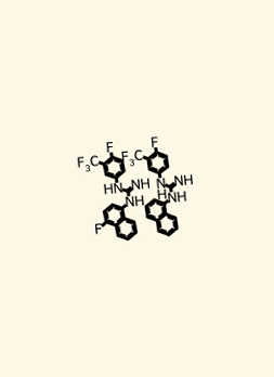 N=C(Nc1ccc(F)c(C(F)(F)F)c1)Nc1ccc(F)c2ccccc12.N=C(Nc1ccc(F)c(C(F)(F)F)c1)Nc1cccc2ccccc12